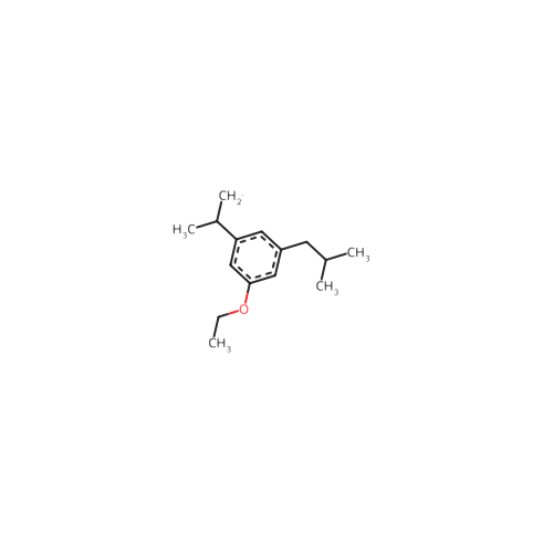 [CH2]C(C)c1cc(CC(C)C)cc(OCC)c1